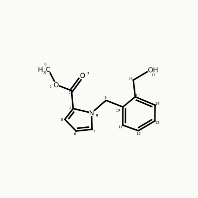 COC(=O)c1cccn1Cc1ccccc1CO